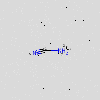 N#CN.[C]